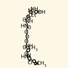 CCc1c(-c2ccc(C(=O)NCCNC(=O)CCOCCOCCOCCNC(=O)c3cc(Oc4nc5cc(-c6ccc7c(ccn7C)c6)c(Cl)cc5[nH]4)ccc3C)nc2)cnc(N)c1-c1ccc(O)cc1